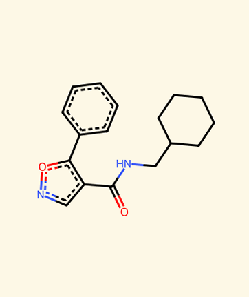 O=C(NCC1CCCCC1)c1cnoc1-c1ccccc1